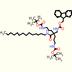 CCCCCCCCCCCCCCNC(=O)C(CCCNC(=O)OC(C)(C)C)(CCCNC(=O)OC(C)(C)C)CNC(=O)OCC1c2ccccc2-c2ccccc21